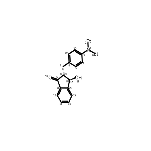 CCN(CC)c1ccc(C[C@H]2C(=O)c3ccccc3[C@@H]2O)cc1